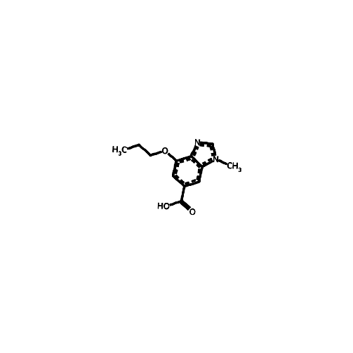 CCCOc1cc(C(=O)O)cc2c1ncn2C